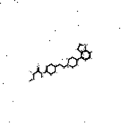 CC[C@H](C)C(=O)NC1CCC(CCN2CCC(c3cccc4c3CCO4)CC2)CC1